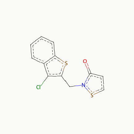 O=c1ccsn1Cc1sc2ccccc2c1Cl